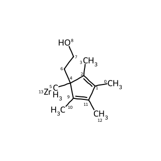 CC1=C(C)C(C)(CCO)C(C)=C1C.[Zr]